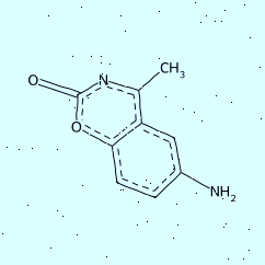 Cc1nc(=O)oc2ccc(N)cc12